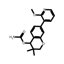 COc1ncccc1-c1ccc2c(c1)OCC(C)(C)C2OC(N)=O